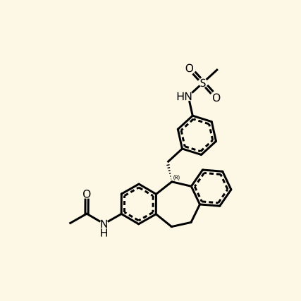 CC(=O)Nc1ccc2c(c1)CCc1ccccc1[C@H]2Cc1cccc(NS(C)(=O)=O)c1